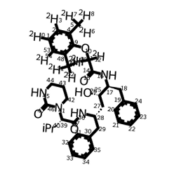 [2H]c1c([2H])c(C([2H])([2H])[2H])c(OC([2H])([2H])C(=O)N[C@@H](Cc2ccccc2)[C@@H](O)C[C@H](Cc2ccccc2)NC(=O)[C@H](C(C)C)N2CCCNC2=O)c(C([2H])([2H])[2H])c1[2H]